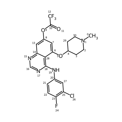 CN1CCC(Oc2cc(OC(=O)C(F)(F)F)cc3ncnc(Nc4ccc(F)c(Cl)c4)c23)CC1